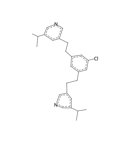 CC(C)c1cncc(CCc2cc(Cl)cc(CCc3cncc(C(C)C)c3)c2)c1